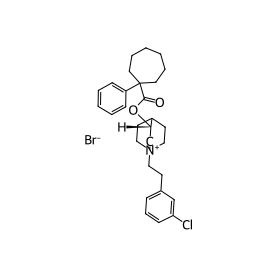 O=C(O[C@H]1C[N+]2(CCc3cccc(Cl)c3)CCC1CC2)C1(c2ccccc2)CCCCCC1.[Br-]